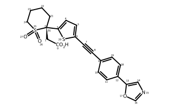 O=C(O)C[C@]1(c2ccc(C#Cc3ccc(-c4cnco4)cc3)s2)CCCCS1(=O)=O